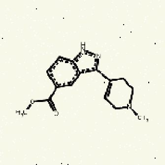 COC(=O)c1ccc2[nH]nc(C3=CCN(C)CC3)c2c1